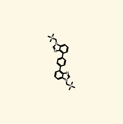 C[Si](C)(C)Cn1[c]nc2c(-c3ccc(-c4cccc5c4n[c]n5C[Si](C)(C)C)cc3)cccc21